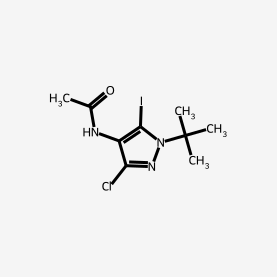 CC(=O)Nc1c(Cl)nn(C(C)(C)C)c1I